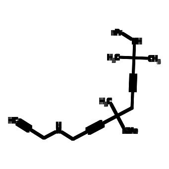 C#CCNCC#CC(C)(CC#CC(C)(C)NCCC)NC